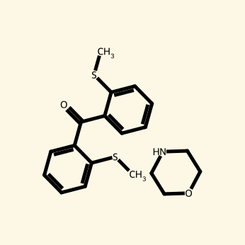 C1COCCN1.CSc1ccccc1C(=O)c1ccccc1SC